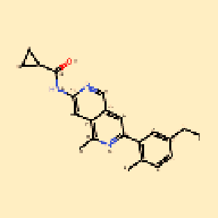 CCc1ccc(C)c(-c2cc3cnc(NC(=O)C4CC4)cc3c(C)n2)c1